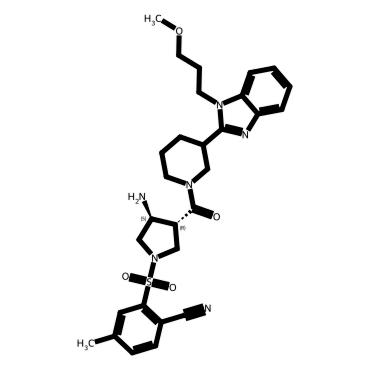 COCCCn1c(C2CCCN(C(=O)[C@@H]3CN(S(=O)(=O)c4cc(C)ccc4C#N)C[C@H]3N)C2)nc2ccccc21